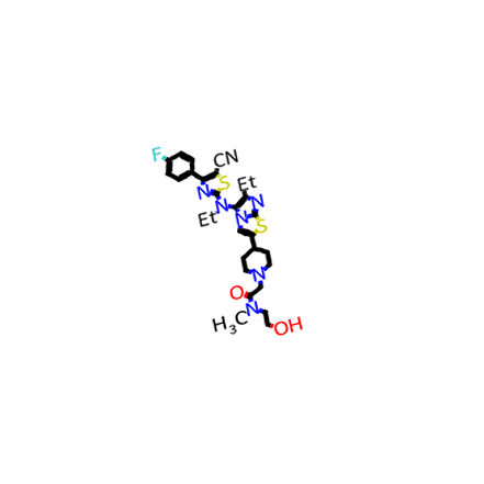 CCc1nc2sc(C3CCN(CC(=O)N(C)CCO)CC3)cn2c1N(CC)c1nc(-c2ccc(F)cc2)c(C#N)s1